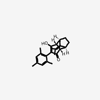 CC(C)=C1[C@H]2CC[C@@H]1[C@H]1C(O)=C(c3c(C)cc(C)cc3C)C(=O)[C@H]12